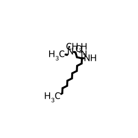 CCCCCCCCCCC1(CC(=O)N(C)CC)NN1